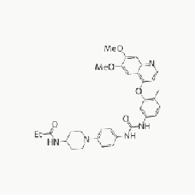 CCC(=O)NC1CCN(c2ccc(NC(=O)Nc3ccc(C)c(Oc4ccnc5cc(OC)c(OC)cc45)c3)cc2)CC1